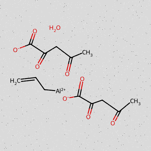 C=C[CH2][Al+2].CC(=O)CC(=O)C(=O)[O-].CC(=O)CC(=O)C(=O)[O-].O